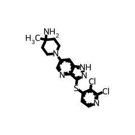 CC1(N)CCN(c2cnc3c(Sc4ccnc(Cl)c4Cl)n[nH]c3c2)CC1